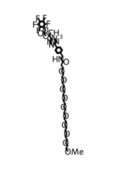 COCCOCCOCCOCCOCCOCCOCCOCCOCCOCCC(=O)NCc1ccc(-c2nnc(C(C)OC(=O)Oc3c(F)c(F)c(F)c(F)c3F)nn2)cc1